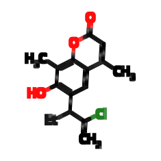 C=C(Cl)C(CC)c1cc2c(C)cc(=O)oc2c(C)c1O